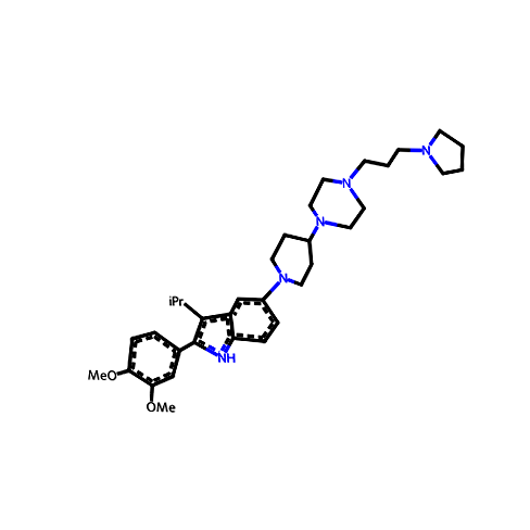 COc1ccc(-c2[nH]c3ccc(N4CCC(N5CCN(CCCN6CCCC6)CC5)CC4)cc3c2C(C)C)cc1OC